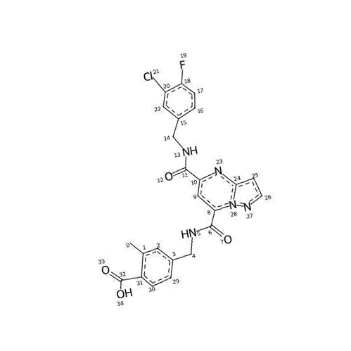 Cc1cc(CNC(=O)c2cc(C(=O)NCc3ccc(F)c(Cl)c3)nc3ccnn23)ccc1C(=O)O